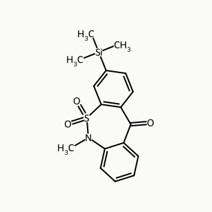 CN1c2ccccc2C(=O)c2ccc([Si](C)(C)C)cc2S1(=O)=O